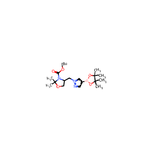 CC(C)(C)OC(=O)N1C(Cn2cc(B3OC(C)(C)C(C)(C)O3)cn2)COC1(C)C